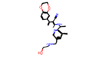 C=C(/C(C#N)=C(\C)NC(=C)c1ncc(CNCCO)cc1C)c1ccc2c(c1)OCCO2